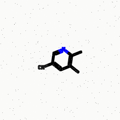 [C-]#[N+]c1cnc(C)c(C)c1